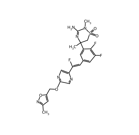 Cc1cc(COc2cnc(C(F)=Cc3cc(F)c(F)c(C4(C)CS(=O)(=O)N(C)C(N)=N4)c3)cn2)on1